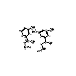 CC(C)NCC(O)c1cc(O)cc(O)c1.CNC[C@H](O)c1cccc(O)c1